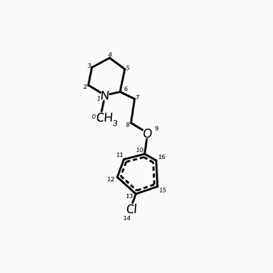 CN1CCCCC1CCOc1ccc(Cl)cc1